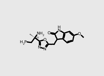 COc1ccc2c(c1)NC(=O)C2Cc1nnc([C@](C)(N)CP)o1